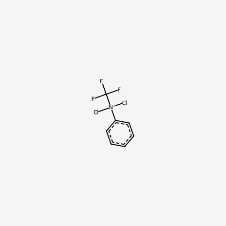 FC(F)(F)[N+](Cl)(Cl)c1ccccc1